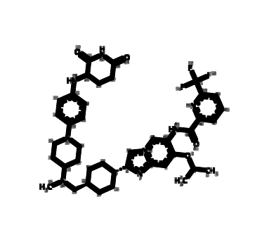 CC(C)Oc1cc2nc([C@H]3CC[C@H](CN(C)C4CCN(c5ccc(NC6CCC(=O)NC6=O)cc5)CC4)CC3)cn2cc1NC(=O)c1cccc(C(F)(F)F)n1